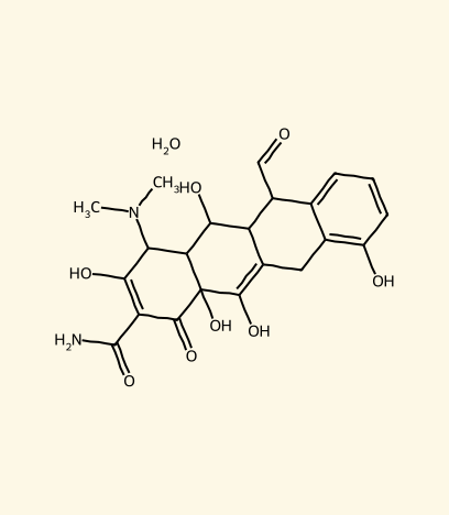 CN(C)C1C(O)=C(C(N)=O)C(=O)C2(O)C(O)=C3Cc4c(O)cccc4C(C=O)C3C(O)C12.O